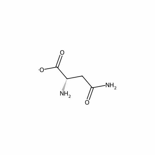 NC(=O)C[C@H](N)C([O])=O